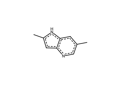 Cc1cnc2cc(C)[nH]c2c1